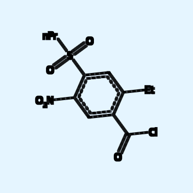 CCCS(=O)(=O)c1cc(CC)c(C(=O)Cl)cc1[N+](=O)[O-]